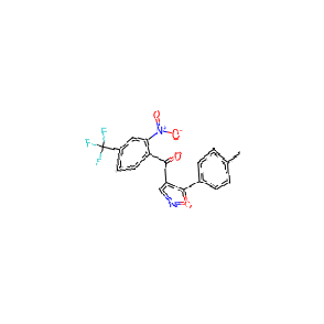 Cc1ccc(-c2oncc2C(=O)c2ccc(C(F)(F)F)cc2[N+](=O)[O-])cc1